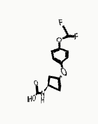 O=C(O)N[C@H]1C[C@H](Oc2ccc(OC(F)F)cc2)C1